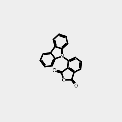 O=C1OC(=O)c2c1cccc2-n1c2ccccc2c2ccccc21